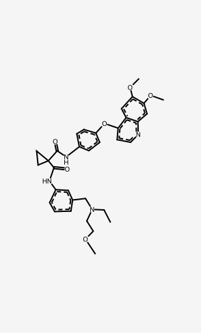 CCN(CCOC)Cc1cccc(NC(=O)C2(C(=O)Nc3ccc(Oc4ccnc5cc(OC)c(OC)cc45)cc3)CC2)c1